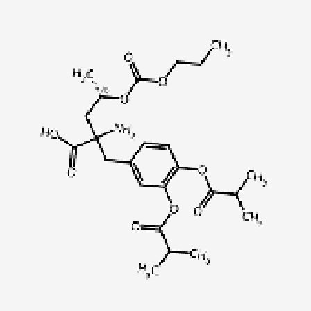 CCCOC(=O)O[C@@H](C)CC(N)(Cc1ccc(OC(=O)C(C)C)c(OC(=O)C(C)C)c1)C(=O)O